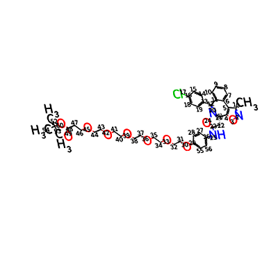 Cc1noc2c1-c1ccccc1C(c1ccc(Cl)cc1)=N[C@H]2CC(=O)Nc1ccc(OCCOCCOCCOCCOCCOCCC(=O)OC(C)(C)C)cc1